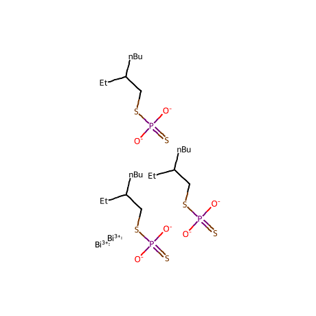 CCCCC(CC)CSP([O-])([O-])=S.CCCCC(CC)CSP([O-])([O-])=S.CCCCC(CC)CSP([O-])([O-])=S.[Bi+3].[Bi+3]